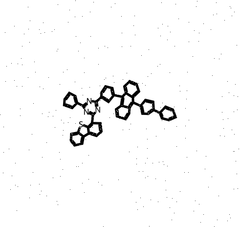 c1ccc(-c2ccc(-c3c4ccccc4c(-c4cccc(-c5nc(-c6ccccc6)nc(-c6cccc7c6sc6ccccc67)n5)c4)c4ccccc34)cc2)cc1